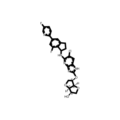 O[C@@H]1CO[C@H]2[C@@H]1OC[C@H]2Oc1nc2nc(NC3CCc4cc(-c5ccc(F)cn5)cc(F)c43)c(Cl)cc2[nH]1